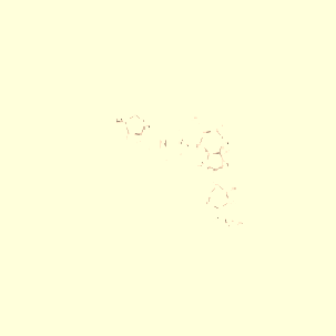 COc1ccc(-c2nc3c(N4CCN(Cc5cn(C)cn5)CC4)c(Br)cnc3[nH]2)cc1